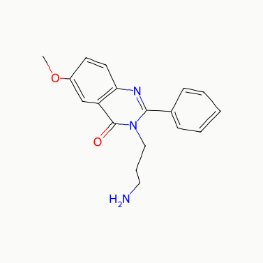 COc1ccc2nc(-c3ccccc3)n(CCCN)c(=O)c2c1